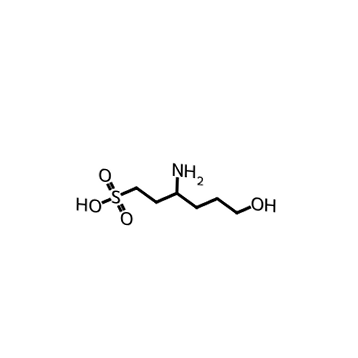 NC(CCCO)CCS(=O)(=O)O